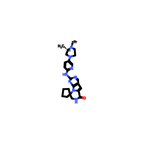 CCCN1CCN(c2ccc(Nc3ncc4cc5n(c4n3)C3(CCCC3)CNC5=O)nc2)C[C@@H]1C